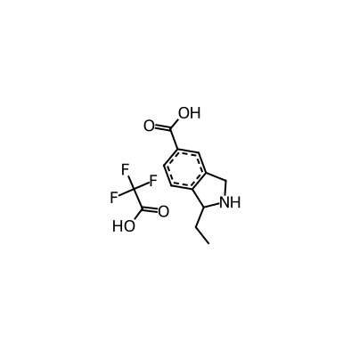 CCC1NCc2cc(C(=O)O)ccc21.O=C(O)C(F)(F)F